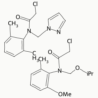 COc1cccc(C)c1N(COC(C)C)C(=O)CCl.Cc1cccc(C)c1N(Cn1cccn1)C(=O)CCl